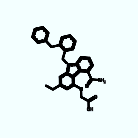 CCc1cc(OCC(=O)O)c2c3c(C(N)=O)cccc3n(Cc3ccccc3Cc3ccccc3)c2c1